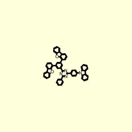 c1ccc(-c2nc(-c3ccc(-n4c5ccccc5c5ccccc54)cc3)nc(-c3cc(-c4cccc5c4oc4ccccc45)cc(-c4cccc5c4oc4ccccc45)c3)n2)cc1